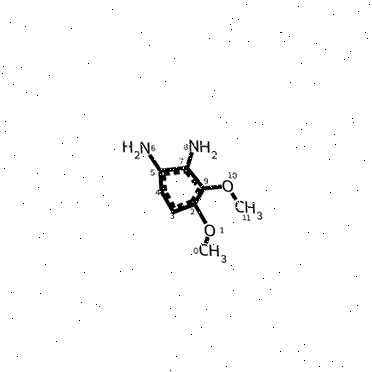 COc1c[c]c(N)c(N)c1OC